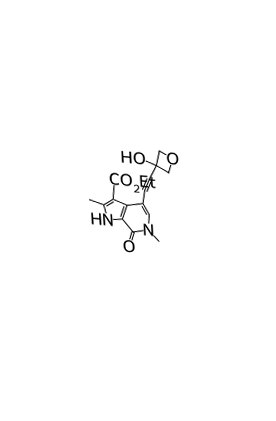 CCOC(=O)c1c(C)[nH]c2c(=O)n(C)cc(C#CC3(O)COC3)c12